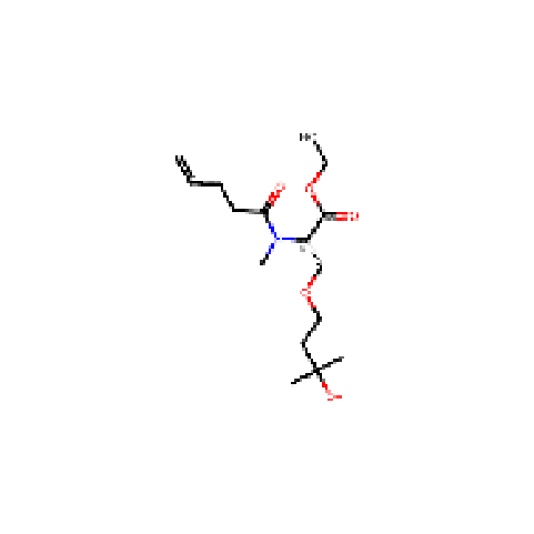 C=CCCC(=O)N(C)[C@@H](COCCC(C)(C)O)C(=O)OCC#N